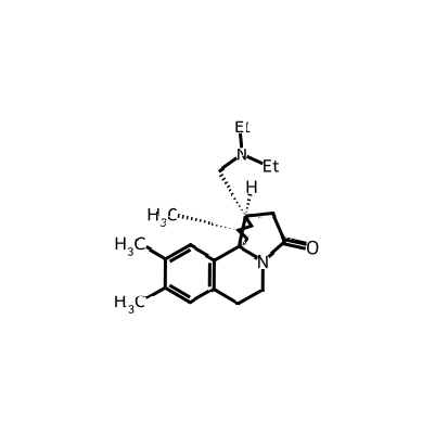 CCN(CC)C[C@@H]1[C@@H](C)C[C@@]23c4cc(C)c(C)cc4CCN2C(=O)C[C@@H]13